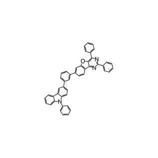 c1ccc(-c2nc(-c3ccccc3)c3oc4cc(-c5cccc(-c6ccc7c(c6)c6ccccc6n7-c6ccccc6)c5)ccc4c3n2)cc1